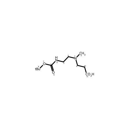 CN(CCNC(=O)OC(C)(C)C)CCC(=O)O